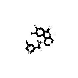 CN(C(=O)c1cncc(Cl)c1)[C@H]1COCc2[nH]c(=O)c3cc(F)c(F)cc3c21